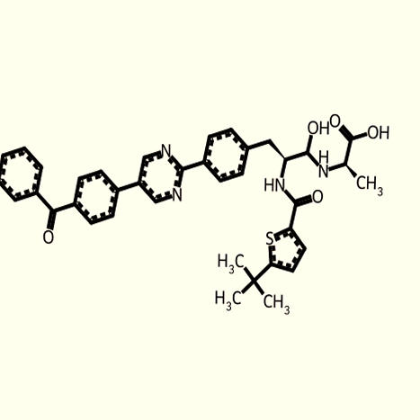 C[C@@H](NC(O)[C@H](Cc1ccc(-c2ncc(-c3ccc(C(=O)c4ccccc4)cc3)cn2)cc1)NC(=O)c1ccc(C(C)(C)C)s1)C(=O)O